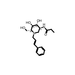 CCC(=O)N[C@H]1CN(CC=Cc2ccccc2)[C@H](CO)[C@@H](O)[C@@H]1O